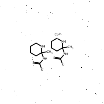 CC1(NC(=S)[S-])CCCCN1.CC1(NC(=S)[S-])CCCCN1.[Co+2]